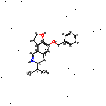 CC(C)C1Cc2cc(OCc3ccccc3)c3c(c2C=N1)CCO3